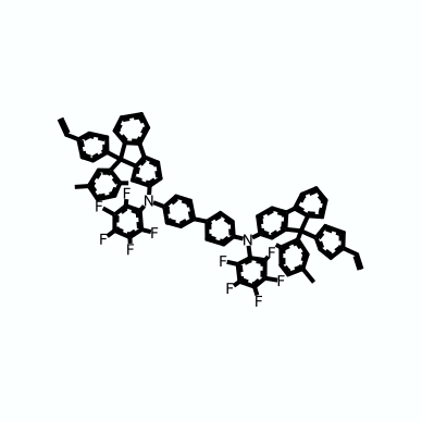 C=Cc1ccc(C2(c3cc(C)ccc3C)c3ccccc3-c3ccc(N(c4ccc(-c5ccc(N(c6ccc7c(c6)C(c6ccc(C=C)cc6)(c6cc(C)ccc6C)c6ccccc6-7)c6c(F)c(F)c(F)c(F)c6F)cc5)cc4)c4c(F)c(F)c(F)c(F)c4F)cc32)cc1